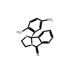 Cc1ccc(C)c([C@]23SCCN2C(=O)c2ccccc23)c1